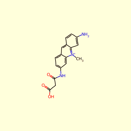 C[n+]1c2cc(N)ccc2cc2ccc(NC(=O)CC(=O)O)cc21